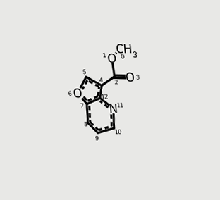 COC(=O)c1coc2cccnc12